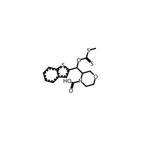 CSC(=S)OC(c1cc2ccccc2s1)C1COCCN1C(=O)O